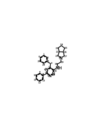 c1ccc(Cc2nc(-c3ccccc3)nnc2NCCN2CC3CCCC3C2)cc1